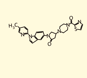 Cc1ccc(-n2ccc3cc(N4CC(N5CCN(C(=O)c6nccs6)CC5)CC4=O)ccc32)nc1